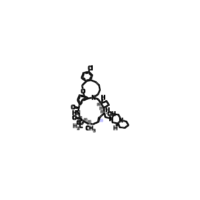 C[C@@H]1[C@@H](C)C/C=C/[C@](O)(CN2CCN3CCCC[C@@H]3C2)[C@@H]2CC[C@H]2CN2CCCCc3cc(Cl)ccc3COc3ccc(cc32)C(=O)NS1(=O)=O